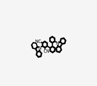 N#Cc1ccc(-c2ccccc2-c2ccccc2-n2c3ccccc3c3ccccc32)c(C#N)c1-n1c2c(c3ccccc31)C=CCC2